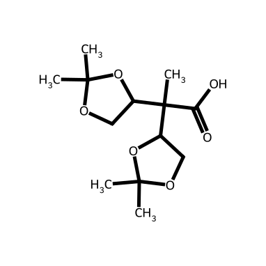 CC1(C)OCC(C(C)(C(=O)O)C2COC(C)(C)O2)O1